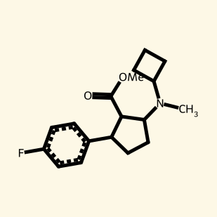 COC(=O)C1C(c2ccc(F)cc2)CCC1N(C)C1CCC1